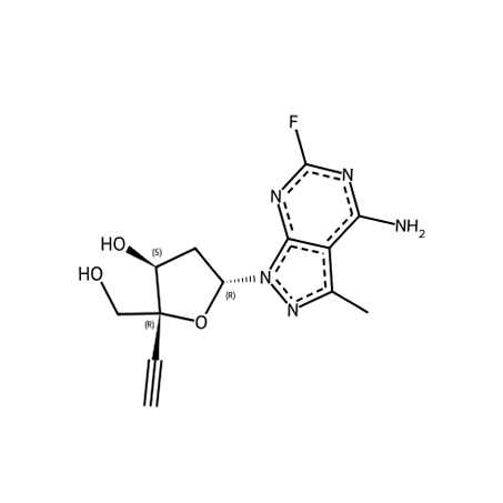 C#C[C@]1(CO)O[C@@H](n2nc(C)c3c(N)nc(F)nc32)C[C@@H]1O